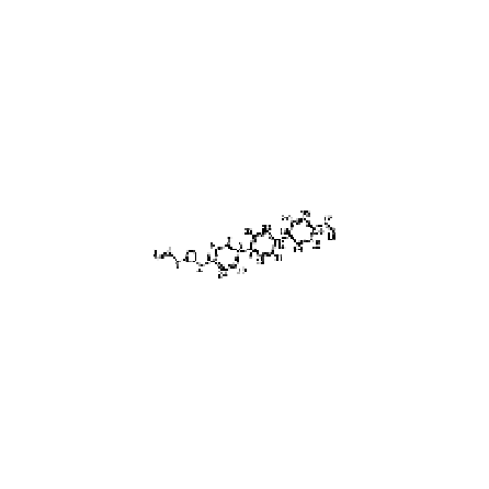 C=CCOCc1ccc(-c2ccc(-c3ccc(C=C)cc3)cc2)cc1